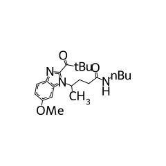 CCCCNC(=O)CCC(C)n1c(C(=O)C(C)(C)C)nc2ccc(OC)cc21